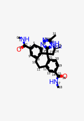 CNC(=O)c1ccc2c(c1)CCc1cc(C(=O)NC)ccc1C2(C[C@H](C)N)c1nnc(C)[nH]1